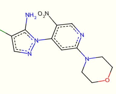 Nc1c(F)cnn1-c1cc(N2CCOCC2)ncc1[N+](=O)[O-]